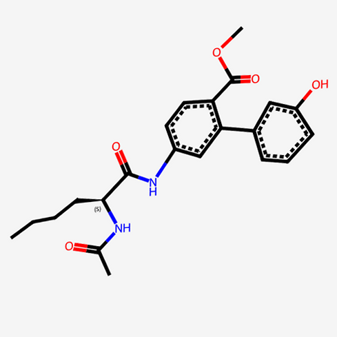 CCCC[C@H](NC(C)=O)C(=O)Nc1ccc(C(=O)OC)c(-c2cccc(O)c2)c1